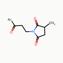 CC(=O)C(=O)CCN1C(=O)CC(C)C1=O